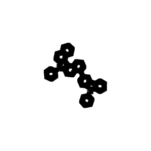 c1ccc(-n2c3ccccc3c3cc(-c4cccc5c4ccc4c5c5c6ccccc6ccc5n4-c4ccccc4)ccc32)cc1